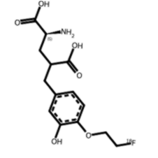 N[C@@H](CC(Cc1ccc(OCC[18F])c(O)c1)C(=O)O)C(=O)O